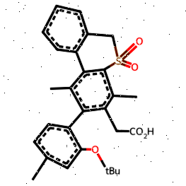 Cc1ccc(-c2c(C)c3c(c(C)c2CC(=O)O)S(=O)(=O)Cc2ccccc2-3)c(OC(C)(C)C)c1